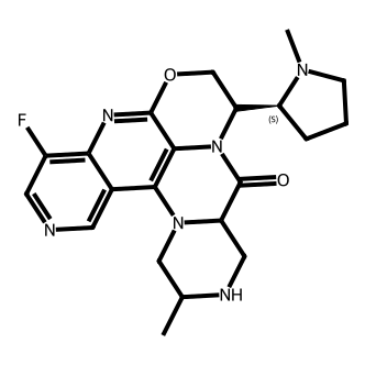 CC1CN2c3c4c(nc5c(F)cncc35)OCC([C@@H]3CCCN3C)N4C(=O)C2CN1